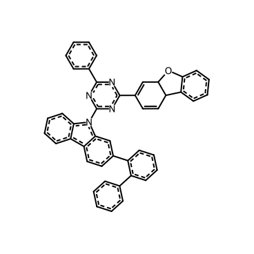 C1=CC2c3ccccc3OC2C=C1c1nc(-c2ccccc2)nc(-n2c3ccccc3c3ccc(-c4ccccc4-c4ccccc4)cc32)n1